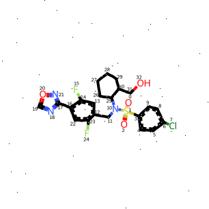 O=S(=O)(c1ccc(Cl)cc1)N(Cc1cc(F)c(-c2ncon2)cc1F)C1CCCCC1CO